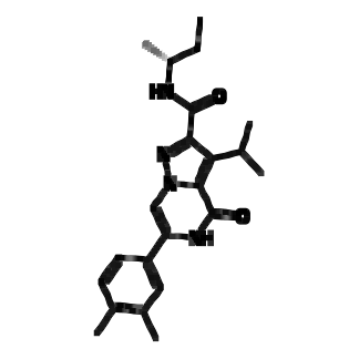 CC[C@@H](C)NC(=O)c1nn2cc(-c3ccc(C)c(C)c3)[nH]c(=O)c2c1C(C)C